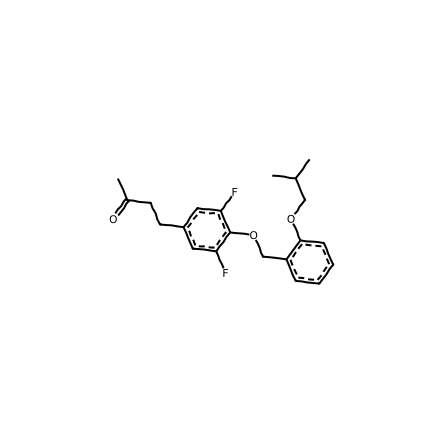 CC(=O)CCc1cc(F)c(OCc2ccccc2OCC(C)C)c(F)c1